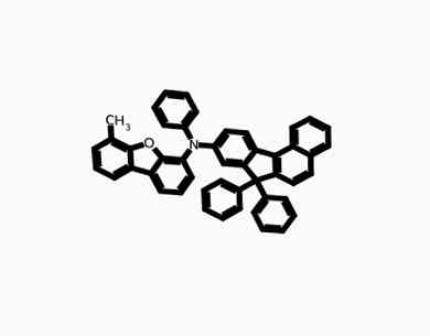 Cc1cccc2c1oc1c(N(c3ccccc3)c3ccc4c(c3)C(c3ccccc3)(c3ccccc3)c3ccc5ccccc5c3-4)cccc12